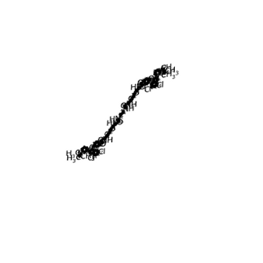 CC(C)N(C)[C@@H]1CCCN([C@H]2Cc3c(Cl)cc(Cl)cc3[C@@H]2Oc2ccc(S(=O)(=O)NCCOCCOCCNC(=O)NCCCCNC(=O)NCCOCCOCCNS(=O)(=O)c3ccc(O[C@H]4c5cc(Cl)cc(Cl)c5C[C@@H]4N4CCC[C@@H](N(C)C(C)C)C4)cc3)cc2)C1